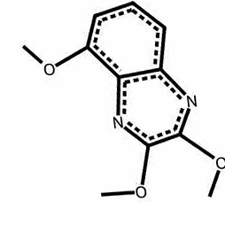 COc1nc2cccc(OC)c2nc1OC